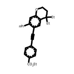 CCCc1cc2c(cc1C#Cc1ccc(C(=O)OCC)cc1)C(CC)(CC)CCO2